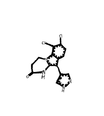 O=C1CCn2c(c(-c3cn[nH]c3)c3ccc(Cl)c(Cl)c32)N1